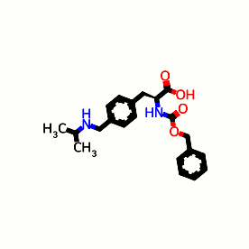 CC(C)NCc1ccc(C[C@H](NC(=O)OCc2ccccc2)C(=O)O)cc1